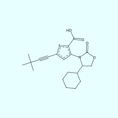 CC(C)(C)C#Cc1cc(N2C(=O)OCC2C2CCCCC2)c(C(=O)O)s1